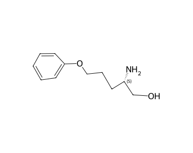 N[C@H](CO)CCCOc1ccccc1